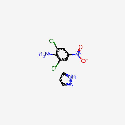 Nc1c(Cl)cc([N+](=O)[O-])cc1Cl.c1cn[nH]c1